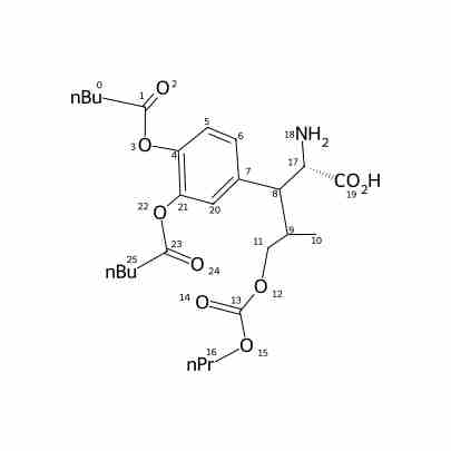 CCCCC(=O)Oc1ccc(C(C(C)COC(=O)OCCC)[C@H](N)C(=O)O)cc1OC(=O)CCCC